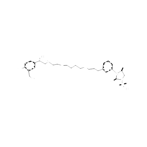 CS(=O)(=O)N1CC(=O)N(c2cccc(CCCOCCCCCCCNC[C@H](O)c3ccc(O)c(CO)c3)c2)C1=O